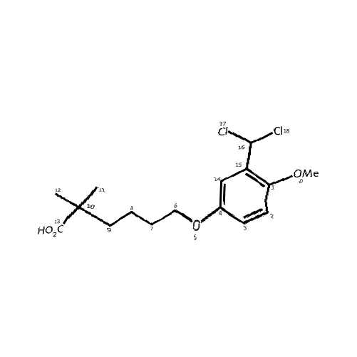 COc1ccc(OCCCCC(C)(C)C(=O)O)cc1C(Cl)Cl